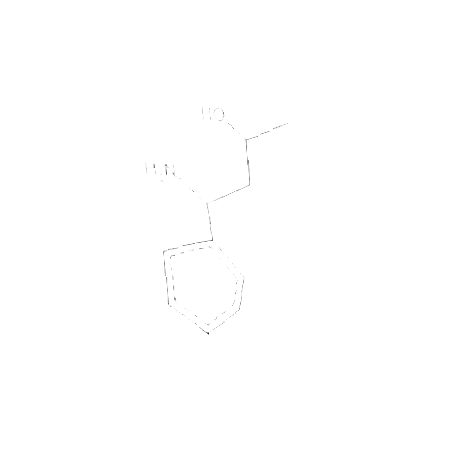 CC(O)CC(N)c1ccccc1